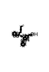 CCC#CC[C@@H](C)[C@@H](C#C[C@@H]1[C@H]2CC(=CCO)C[C@H]2C[C@H]1OC1CCCCO1)OC1CCCCO1